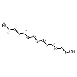 SSSSSSSSSSSSSSS